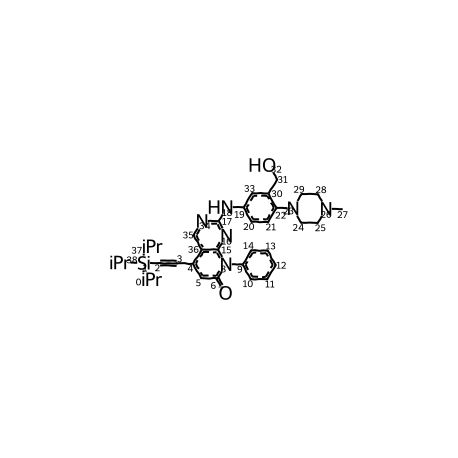 CC(C)[Si](C#Cc1cc(=O)n(-c2ccccc2)c2nc(Nc3ccc(N4CCN(C)CC4)c(CO)c3)ncc12)(C(C)C)C(C)C